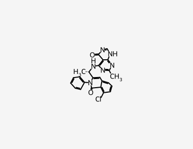 Cc1nc(N[C@@H](C)c2cc3cccc(Cl)c3c(=O)n2-c2ccccc2)c2c(=O)nc[nH]c2n1